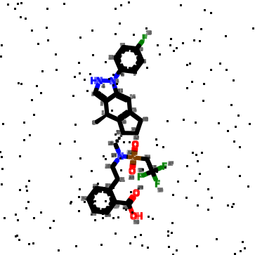 C[C@H]1C2=CNN(c3ccc(F)cc3)C2=CC2=C1[C@@H](CN(CCc1ccccc1C(=O)O)S(=O)(=O)CC(F)(F)F)CC2